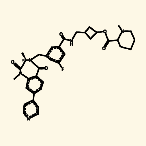 C[C@@H]1C(=O)N(C)c2cc(-c3ccncc3)ccc2C(=O)N1Cc1cc(F)cc(C(=O)NCC2CC(OC(=O)C3CCCCN3C)C2)c1